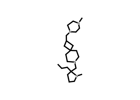 CCCC1(CN2CCC3(CC2)CC(CN2CCN(C)CC2)C3)CCCN1C